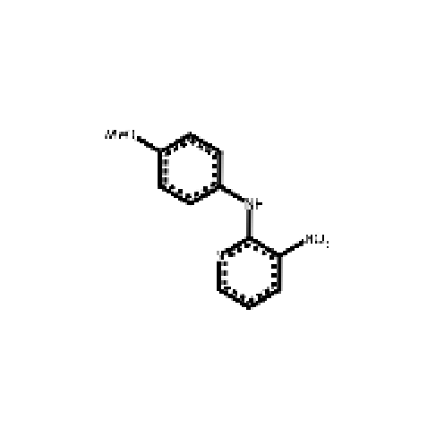 COc1ccc(Nc2ncccc2[N+](=O)[O-])cc1